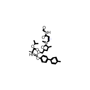 Cc1ccc(-c2ccc(OP(N[C@@H](C)C(=O)OC(C)C)OCC3CC(C)C(N(C)/C=C\C(=O)NC=O)O3)cc2)cc1